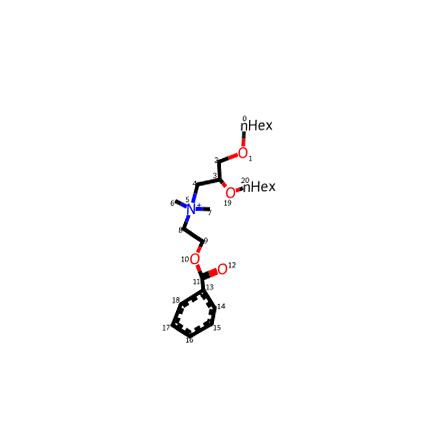 CCCCCCOCC(C[N+](C)(C)CCOC(=O)c1ccccc1)OCCCCCC